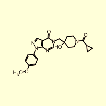 COc1ccc(-n2ncc3c(=O)n(CC4(O)CCN(C(=O)C5CC5)CC4)cnc32)cc1